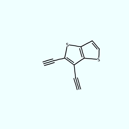 C#Cc1sc2ccsc2c1C#C